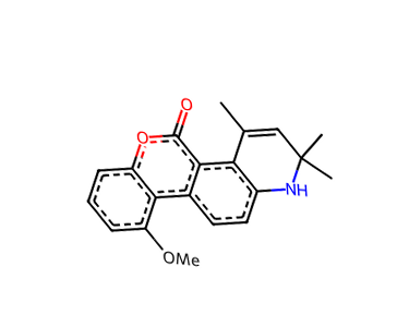 COc1cccc2oc(=O)c3c4c(ccc3c12)NC(C)(C)C=C4C